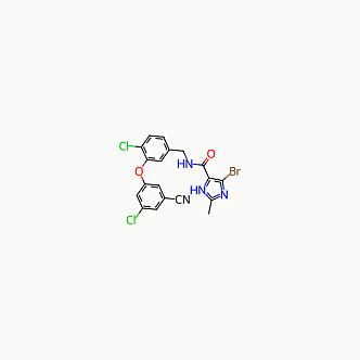 Cc1nc(Br)c(C(=O)NCc2ccc(Cl)c(Oc3cc(Cl)cc(C#N)c3)c2)[nH]1